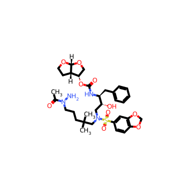 CC(=O)N(N)CCCC(C)(C)CN(C[C@@H](O)[C@H](Cc1ccccc1)NC(=O)O[C@H]1CO[C@H]2OCC[C@H]21)S(=O)(=O)c1ccc2c(c1)OCO2